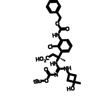 CC1(O)CC(N/C(=N/C(=O)OC(C)(C)C)N[C@@](C)(CC(=O)O)c2cccc(NC(=O)OCc3ccccc3)c2Cl)C1